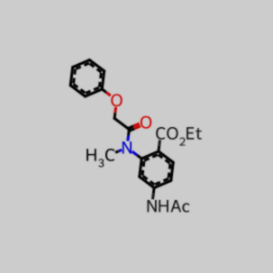 CCOC(=O)c1ccc(NC(C)=O)cc1N(C)C(=O)COc1ccccc1